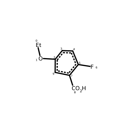 CCOc1ccc(F)c(C(=O)O)c1